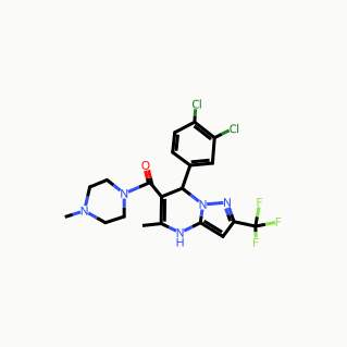 CC1=C(C(=O)N2CCN(C)CC2)C(c2ccc(Cl)c(Cl)c2)n2nc(C(F)(F)F)cc2N1